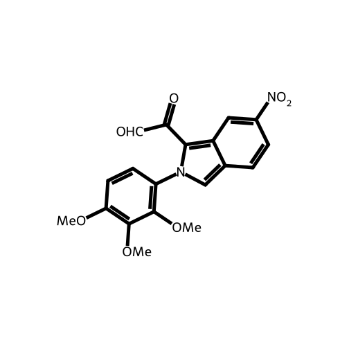 COc1ccc(-n2cc3ccc([N+](=O)[O-])cc3c2C(=O)C=O)c(OC)c1OC